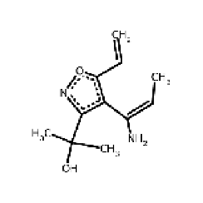 C=Cc1onc(C(C)(C)O)c1/C(N)=C\C